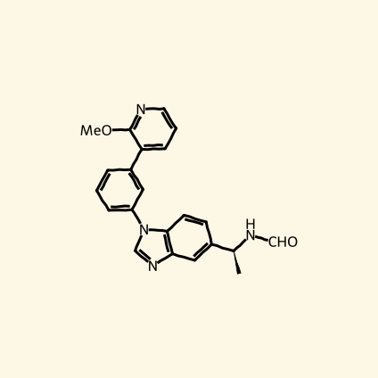 COc1ncccc1-c1cccc(-n2cnc3cc([C@H](C)NC=O)ccc32)c1